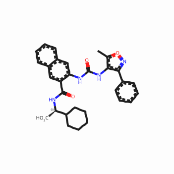 Cc1onc(-c2ccccc2)c1NC(=O)Nc1cc2ccccc2cc1C(=O)N[C@H](C(=O)O)C1CCCCC1